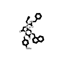 C#CCN(C(=O)NCc1ccccc1)N1CC(=O)N2[C@@H](Cc3ccc(NC)cc3)C(=O)N(Cc3cccc4ccccc34)C[C@@H]21